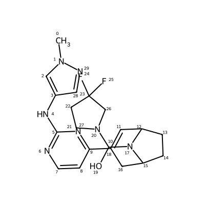 Cn1cc(Nc2nccc(C3=CC4CCC(C3)N4C(O)N3CCC(F)(F)C3)n2)cn1